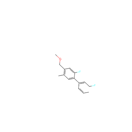 C/C=C\C(=C/CF)c1cc(C)c(COC)cc1F